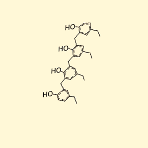 CCc1ccc(O)c(Cc2cc(CC)cc(Cc3cc(CC)cc(Cc4cc(CC)ccc4O)c3O)c2O)c1